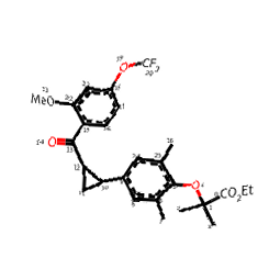 CCOC(=O)C(C)(C)Oc1c(C)cc(C2CC2C(=O)c2ccc(OC(F)(F)F)cc2OC)cc1C